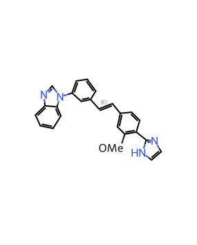 COc1cc(/C=C/c2cccc(-n3cnc4ccccc43)c2)ccc1-c1ncc[nH]1